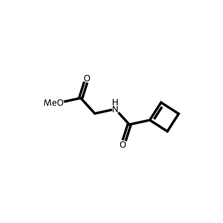 COC(=O)CNC(=O)C1=CCC1